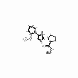 CC(C)(C)OC(=O)N1CCC[C@H]1c1ncc(-c2ccccc2OC(F)(F)F)[nH]1